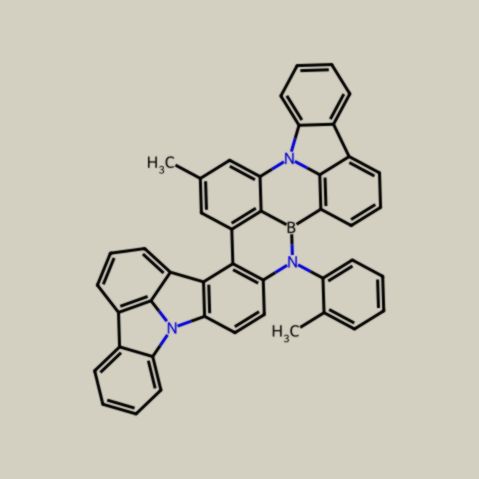 Cc1cc2c3c(c1)-n1c4ccccc4c4cccc(c41)B3N(c1ccccc1C)c1ccc3c(c1-2)c1cccc2c4ccccc4n3c21